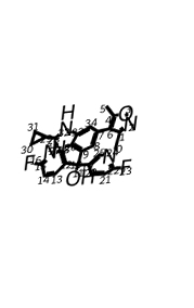 Cc1noc(C)c1-c1cc(C(O)(c2ccc(F)nc2)c2ccc(F)nc2)c2nc(C3CC3)[nH]c2c1